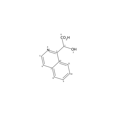 O=C(O)C(O)c1nccc2ccccc12